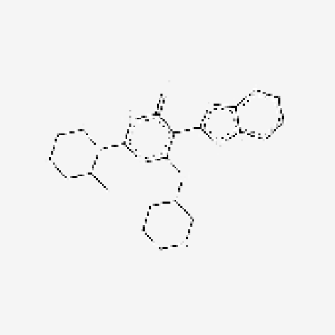 CC1CCCCN1c1nc(N[C@@H]2CCCNC2)c(-c2nc3ccccc3s2)c(=O)[nH]1